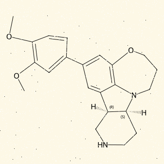 COc1ccc(-c2cc3c4c(c2)[C@@H]2CNCC[C@@H]2N4CCCO3)cc1OC